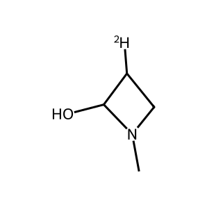 [2H]C1CN(C)C1O